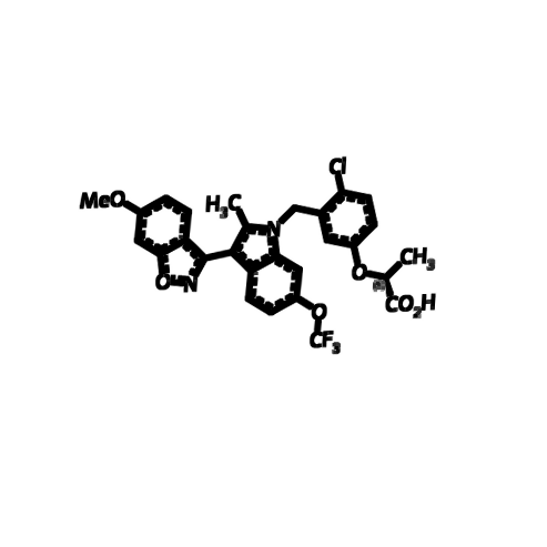 COc1ccc2c(-c3c(C)n(Cc4cc(O[C@@H](C)C(=O)O)ccc4Cl)c4cc(OC(F)(F)F)ccc34)noc2c1